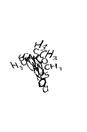 CC(C)[C@H](N)C(=O)N(C(=O)OC(C)(C)C)[C@H](C)c1nc2ccc(Cl)cc2s1